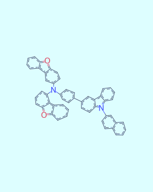 c1ccc2cc(-n3c4ccccc4c4cc(-c5ccc(N(c6ccc7oc8ccccc8c7c6)c6cccc7oc8ccccc8c67)cc5)ccc43)ccc2c1